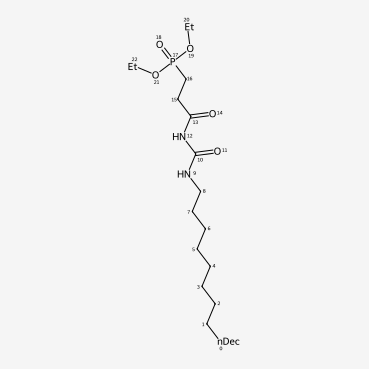 CCCCCCCCCCCCCCCCCCNC(=O)NC(=O)CCP(=O)(OCC)OCC